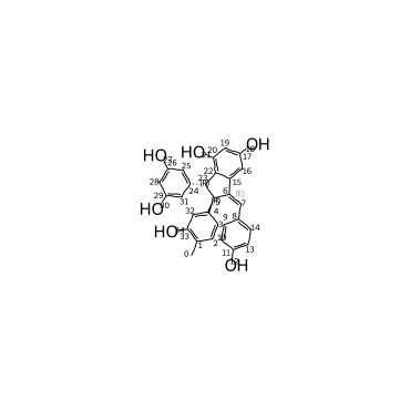 Cc1ccc([C@@H]2/C(=C\c3ccc(O)cc3)c3cc(O)cc(O)c3[C@H]2c2cc(O)cc(O)c2)cc1O